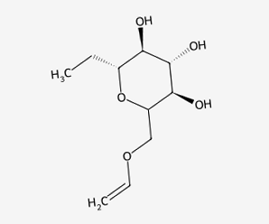 C=COCC1O[C@H](CC)[C@@H](O)[C@H](O)[C@H]1O